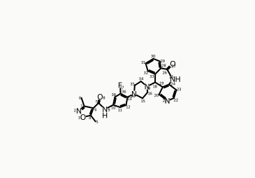 Cc1noc(C)c1C(=O)Nc1ccc(N2CCN(C3c4cnccc4NC(=O)c4ccccc43)CC2)c(F)c1